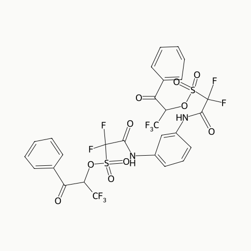 O=C(c1ccccc1)C(OS(=O)(=O)C(F)(F)C(=O)Nc1cccc(NC(=O)C(F)(F)S(=O)(=O)OC(C(=O)c2ccccc2)C(F)(F)F)c1)C(F)(F)F